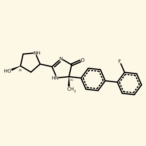 C[C@@]1(c2ccc(-c3ccccc3F)cc2)NC(C2C[C@@H](O)CN2)=NC1=O